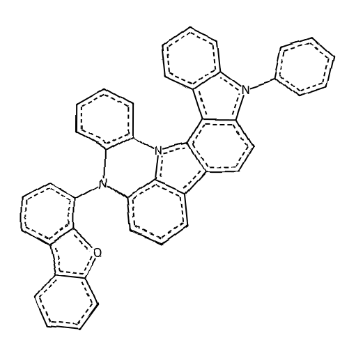 c1ccc(-n2c3ccccc3c3c2ccc2c4cccc5c4n(c23)-c2ccccc2N5c2cccc3c2oc2ccccc23)cc1